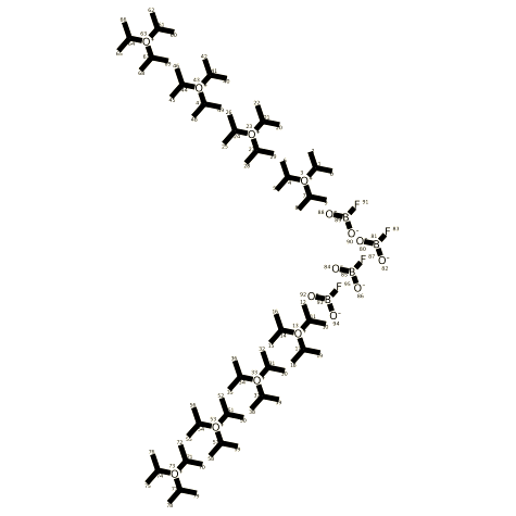 CC(C)[O+](C(C)C)C(C)C.CC(C)[O+](C(C)C)C(C)C.CC(C)[O+](C(C)C)C(C)C.CC(C)[O+](C(C)C)C(C)C.CC(C)[O+](C(C)C)C(C)C.CC(C)[O+](C(C)C)C(C)C.CC(C)[O+](C(C)C)C(C)C.CC(C)[O+](C(C)C)C(C)C.[O-]B([O-])F.[O-]B([O-])F.[O-]B([O-])F.[O-]B([O-])F